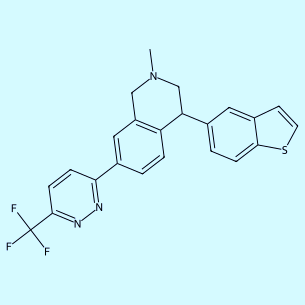 CN1Cc2cc(-c3ccc(C(F)(F)F)nn3)ccc2C(c2ccc3sccc3c2)C1